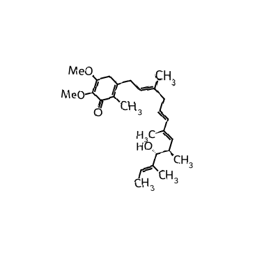 C/C=C(\C)[C@H](O)[C@H](C)/C=C(C)/C=C/C/C(C)=C/CC1=C(C)C(=O)C(OC)=C(OC)C1